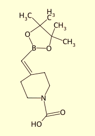 CC1(C)OB(C=C2CCN(C(=O)O)CC2)OC1(C)C